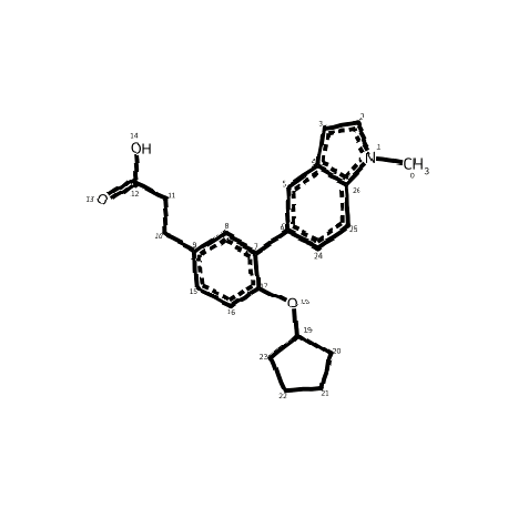 Cn1ccc2cc(-c3cc(CCC(=O)O)ccc3OC3CCCC3)ccc21